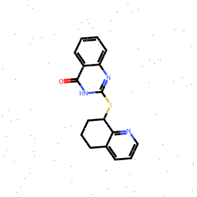 O=c1[nH]c(SC2CCCc3cccnc32)nc2ccccc12